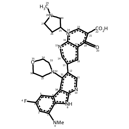 CNc1cc(F)cc2c1[nH]c1ncc(-c3cnc4c(c3)c(=O)c(C(=O)O)cn4C3CCN(C)C3)c(N3CCOCC3)c12